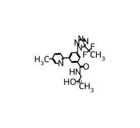 Cc1ccc(-c2cc(C(=O)NC[C@H](C)O)cc(-n3nnnc3C(C)(F)F)c2)nc1